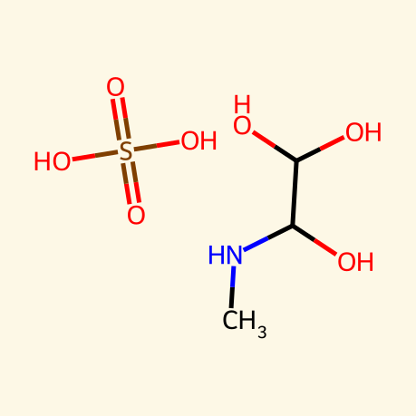 CNC(O)C(O)O.O=S(=O)(O)O